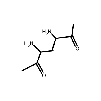 CC(=O)C(N)[CH]C(N)C(C)=O